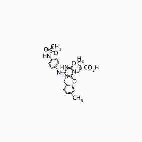 Cc1ccc(Cn2c(=O)n(C[C@H](C)C(=O)O)c(=O)[nH]/c2=N\c2ccc(NS(C)(=O)=O)cc2)cc1